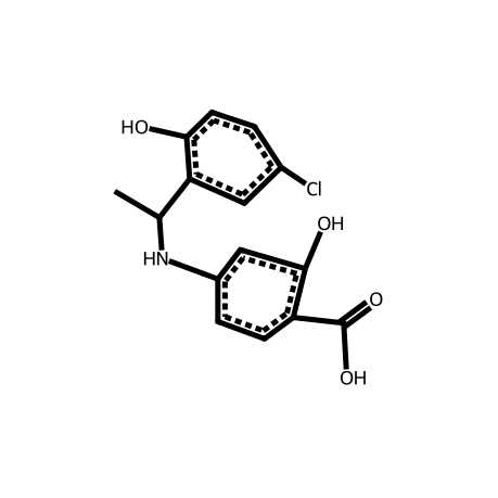 CC(Nc1ccc(C(=O)O)c(O)c1)c1cc(Cl)ccc1O